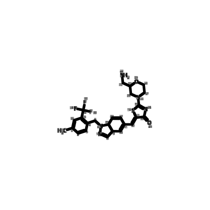 Cc1ccc(CN2N=CC3C=C(/C=C4\SC(N5CCOC(CN)C5)=NC4=O)C=CC32)c(C(F)(F)F)c1